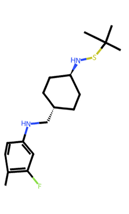 Cc1ccc(NC[C@H]2CC[C@H](NSC(C)(C)C)CC2)cc1F